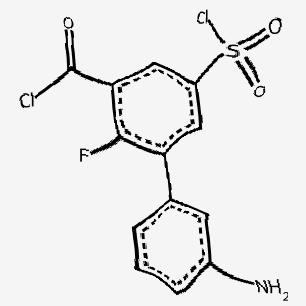 Nc1cccc(-c2cc(S(=O)(=O)Cl)cc(C(=O)Cl)c2F)c1